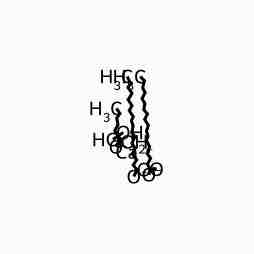 CCCCCC(O)(O)C(=O)O.CCCCCCCCCCCCCCCCCC(=O)[O-].CCCCCCCCCCCCCCCCCC(=O)[O-].[Ca+2]